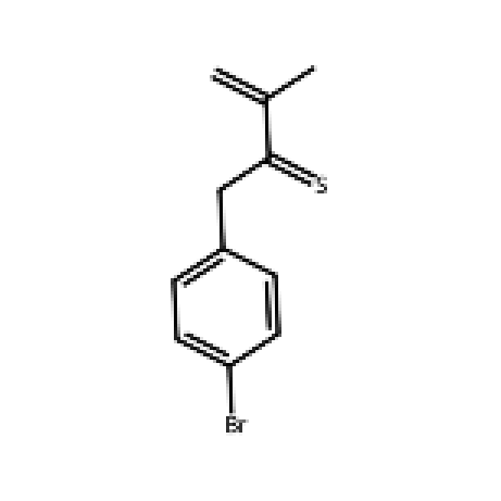 C=C(C)C(=S)Cc1ccc(Br)cc1